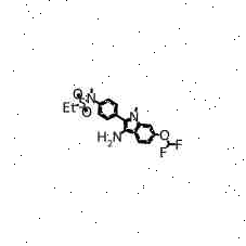 CCS(=O)(=O)N(C)c1ccc(-c2c(N)c3ccc(OC(F)F)cc3n2C)cc1